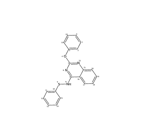 c1ccc(Oc2nc(NSc3ccccc3)c3ccccc3n2)cc1